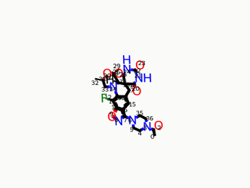 CC(=O)N1CCN(c2noc3c(F)c4c(cc23)CC2(C(=O)NC(=O)NC2=O)[C@H]2[C@H](C)O[C@H](C)CN42)CC1